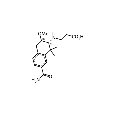 CO[C@@H]1Cc2ccc(C(N)=O)cc2C(C)(C)[C@H]1NCCC(=O)O